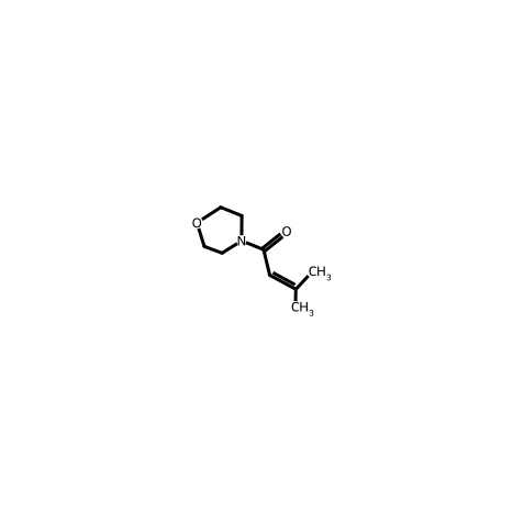 CC(C)=CC(=O)N1CCOCC1